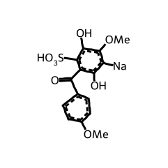 COc1ccc(C(=O)c2c(O)[c]([Na])c(OC)c(O)c2S(=O)(=O)O)cc1